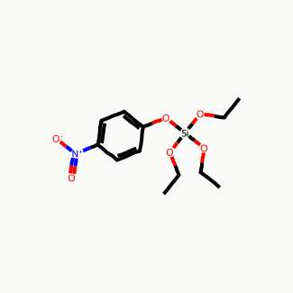 CCO[Si](OCC)(OCC)Oc1ccc([N+](=O)[O-])cc1